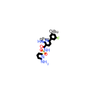 CCCCCNc1nc(-c2cc(F)cc(OCC(C)C)c2)ccc1C(=O)NS(=O)(=O)c1cccc(N)n1